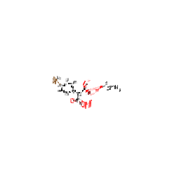 CCOC(=O)C(C(=O)O)c1ccc(Br)cc1